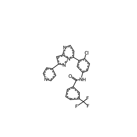 O=C(Nc1ccc(Cl)c(-c2ccnc3cc(-c4ccncc4)nn23)c1)c1cccc(C(F)(F)F)c1